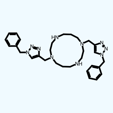 c1ccc(Cn2cc(CN3CCCNCCN(Cc4cn(Cc5ccccc5)nn4)CCCNCC3)nn2)cc1